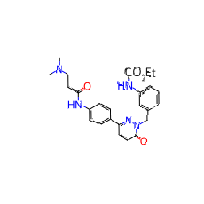 CCOC(=O)Nc1cccc(Cn2nc(-c3ccc(NC(=O)CCN(C)C)cc3)ccc2=O)c1